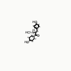 Cl.N[C@@H](Cc1ccc(O)cc1)C(=O)N1CCC(O)CC1